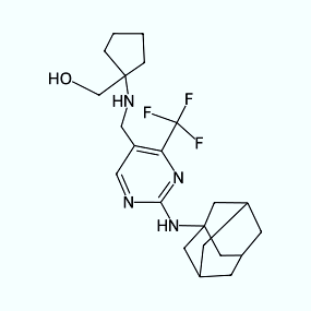 OCC1(NCc2cnc(NC34CC5CC(CC(C5)C3)C4)nc2C(F)(F)F)CCCC1